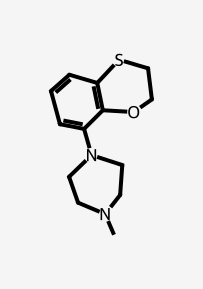 CN1CCN(c2cccc3c2OCCS3)CC1